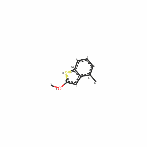 COc1cc2c(C)cccc2s1